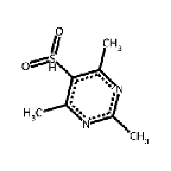 Cc1nc(C)c([SH](=O)=O)c(C)n1